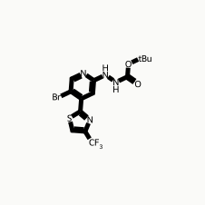 CC(C)(C)OC(=O)NNc1cc(-c2nc(C(F)(F)F)cs2)c(Br)cn1